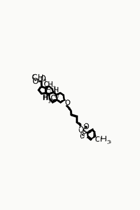 COC(=O)C1CC[C@H]2[C@@H]3CC=C4CC(OCCCCCCOS(=O)(=O)c5ccc(C)cc5)CC[C@]4(C)[C@@H]3CC[C@]12C